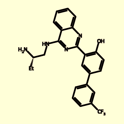 CC[C@H](N)CNc1nc(-c2cc(-c3cccc(C(F)(F)F)c3)ccc2O)nc2ccccc12